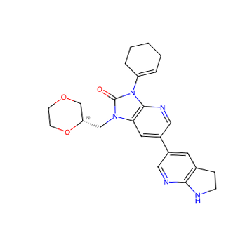 O=c1n(C[C@H]2COCCO2)c2cc(-c3cnc4c(c3)CCN4)cnc2n1C1=CCCCC1